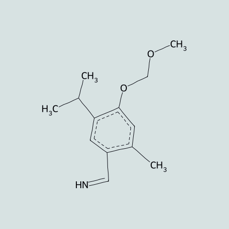 COCOc1cc(C)c(C=N)cc1C(C)C